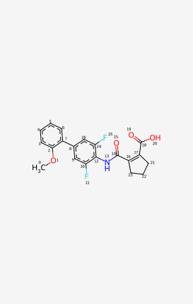 COc1ccccc1-c1cc(F)c(NC(=O)C2=C(C(=O)O)CCC2)c(F)c1